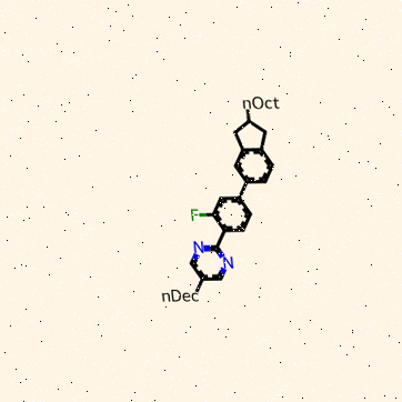 CCCCCCCCCCc1cnc(-c2ccc(-c3ccc4c(c3)CC(CCCCCCCC)C4)cc2F)nc1